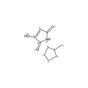 CC1CCCC1.O=C1C=C(O)C(=O)N1